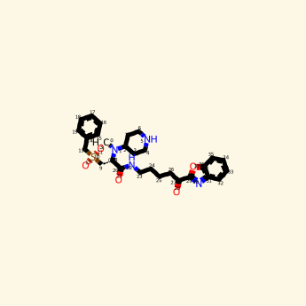 CN(C1CCNCC1)[C@@H](CS(=O)(=O)Cc1ccccc1)C(=O)NCCCCC(=O)c1nc2ccccc2o1